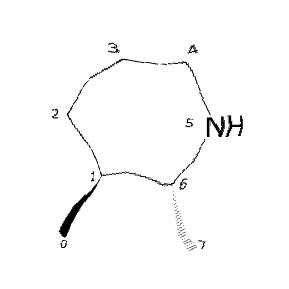 C[C@H]1CCCN[C@@H]1C